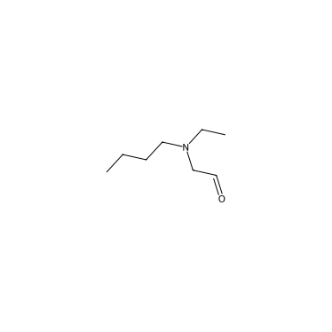 CCCCN(CC)CC=O